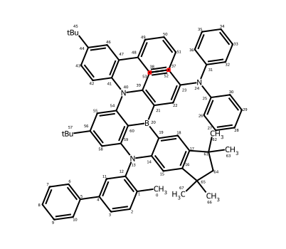 Cc1ccc(-c2ccccc2)cc1N1c2cc3c(cc2B2c4cc(N(c5ccccc5)c5ccccc5)ccc4N(c4ccc(C(C)(C)C)cc4-c4ccccc4)c4cc(C(C)(C)C)cc1c42)C(C)(C)CC3(C)C